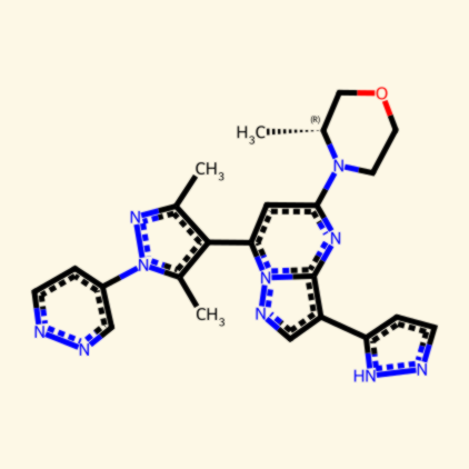 Cc1nn(-c2ccnnc2)c(C)c1-c1cc(N2CCOC[C@H]2C)nc2c(-c3ccn[nH]3)cnn12